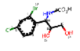 O=C(O)N[C@H](c1ccc(Cl)cc1Br)C(O)CO